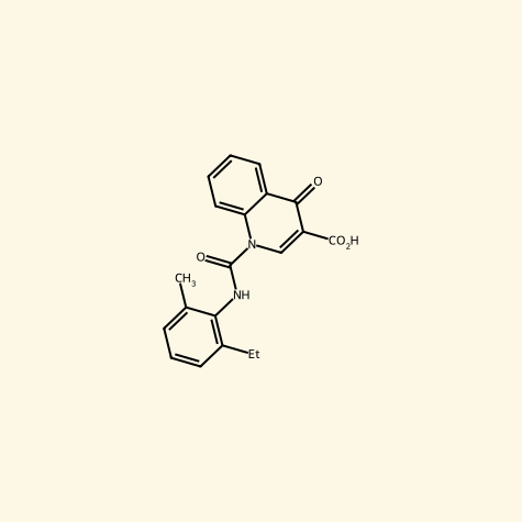 CCc1cccc(C)c1NC(=O)n1cc(C(=O)O)c(=O)c2ccccc21